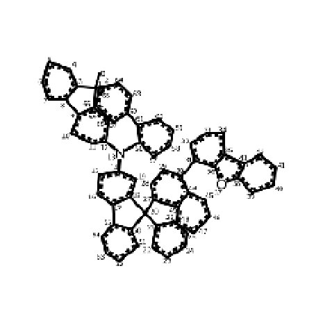 CC1(C)c2ccccc2-c2ccc(N(c3ccc4c(c3)C(c3ccccc3)(c3ccc(-c5cccc6c5oc5ccccc56)c5ccccc35)c3ccccc3-4)c3ccccc3-c3ccccc3)cc21